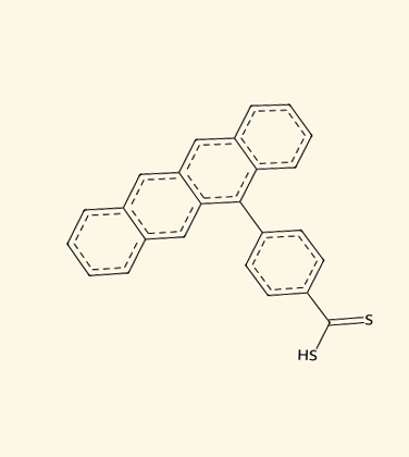 S=C(S)c1ccc(-c2c3ccccc3cc3cc4ccccc4cc23)cc1